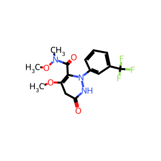 COC1=C(C(=O)N(C)OC)N(c2cccc(C(F)(F)F)c2)NC(=O)C1